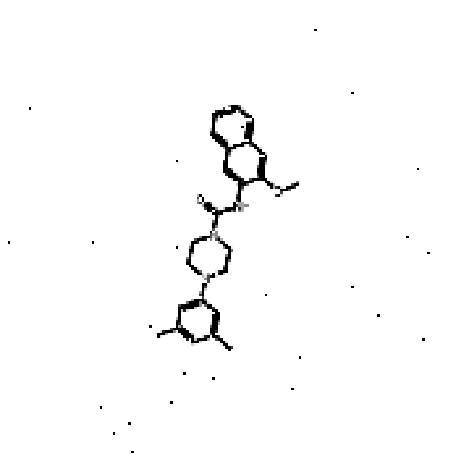 COc1cc2ccccc2cc1NC(=O)N1CCN(c2cc(C)cc(C)c2)CC1